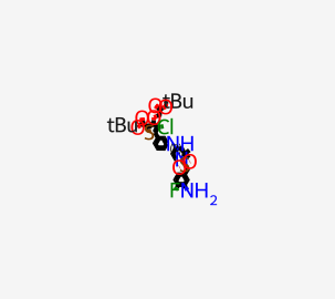 CC(C)(C)OC(=O)COc1c(C(=O)OC(C)(C)C)sc(-c2cccc(N[C@@H]3CCN(S(=O)(=O)Cc4ccc(F)c(N)c4)C(C)(C)C3)c2)c1Cl